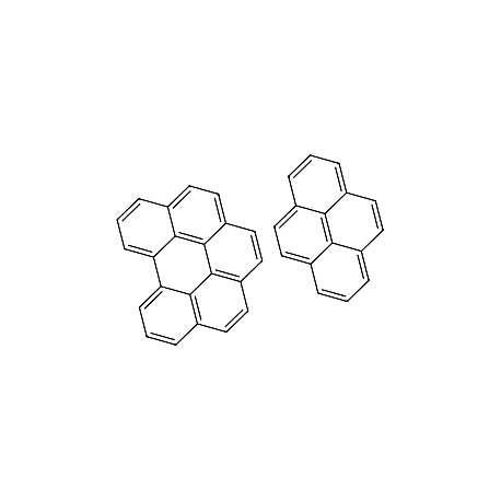 c1cc2ccc3ccc4ccc5cccc6c(c1)c2c3c4c56.c1cc2ccc3cccc4ccc(c1)c2c34